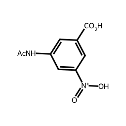 CC(=O)Nc1cc(C(=O)O)cc([N+](=O)O)c1